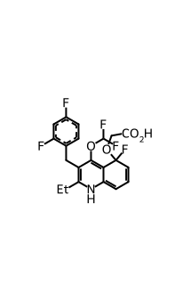 CCC1=C(Cc2ccc(F)cc2F)C(OC(F)F)=C2C(=CC=CC2(F)OCC(=O)O)N1